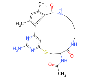 CC(=O)NC1CSc2cc(nc(N)n2)-c2cc(c(C)cc2C)C(=O)NCCCCNC1=O